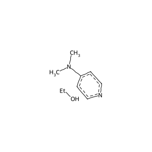 CCO.CN(C)c1ccncc1